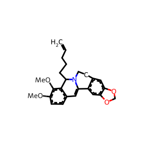 C=CCCCC1c2c(ccc(OC)c2OC)C=C2c3cc4c(cc3CCN21)OCO4